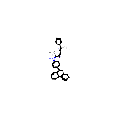 C/C(=C\C=C(\I)C(C)NC1=CC=C(C2=CC3=C(C=CCC3)C3C=CC=CC23)CC1)c1ccccc1